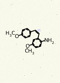 COc1ccc(/C=C\c2cc(OC)ccc2N)cc1